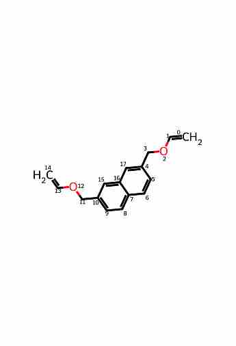 C=COCc1ccc2ccc(COC=C)cc2c1